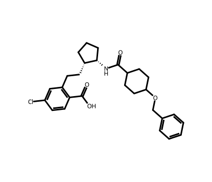 O=C(O)c1ccc(Cl)cc1CC[C@@H]1CCC[C@@H]1NC(=O)C1CCC(OCc2ccccc2)CC1